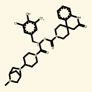 CN1CC2CC1CN2C1CCN(C(=O)[C@@H](Cc2cc(Cl)c(O)c(C(F)(F)F)c2)OC(=O)N2CCC3(CC2)CC(=O)Nc2ccccc23)CC1